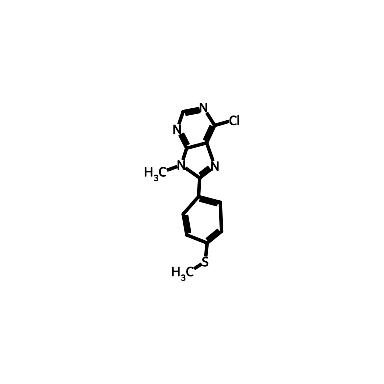 CSc1ccc(-c2nc3c(Cl)ncnc3n2C)cc1